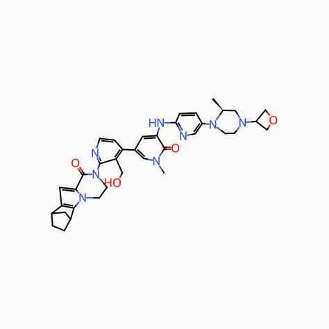 C[C@H]1CN(C2COC2)CCN1c1ccc(Nc2cc(-c3ccnc(N4CCn5c(cc6c5C5CCC6C5)C4=O)c3CO)cn(C)c2=O)nc1